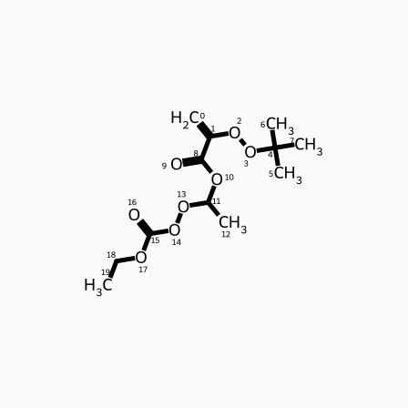 C=C(OOC(C)(C)C)C(=O)OC(C)OOC(=O)OCC